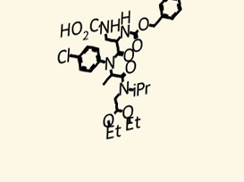 CCOC(CN(C(=O)C(C)N(C(=O)C(CNC(=O)O)NC(=O)OCc1ccccc1)c1ccc(Cl)cc1)C(C)C)OCC